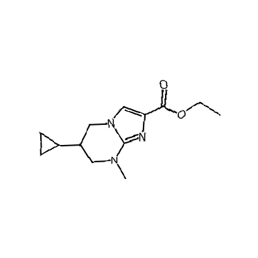 CCOC(=O)c1cn2c(n1)N(C)CC(C1CC1)C2